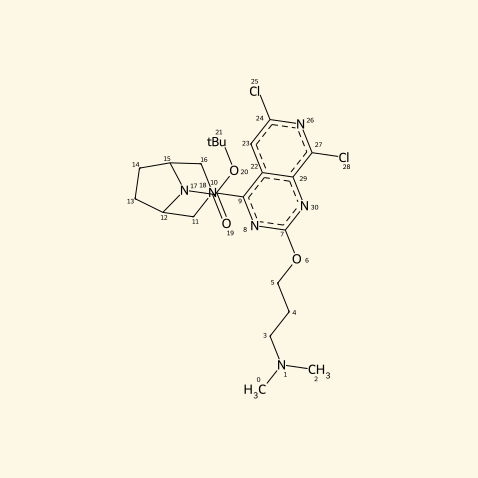 CN(C)CCCOc1nc(N2CC3CCC(C2)N3C(=O)OC(C)(C)C)c2cc(Cl)nc(Cl)c2n1